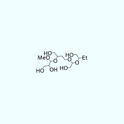 CCC(CO)OC(CO)OCCC(CO)OC(OC)C(O)CO